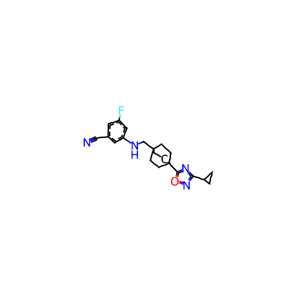 N#Cc1cc(F)cc(NCC23CCC(c4nc(C5CC5)no4)(CC2)CC3)c1